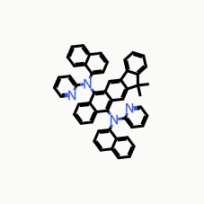 CC1(C)c2ccccc2-c2cc3c(N(c4ccccn4)c4cccc5ccccc45)c4ccccc4c(N(c4ccccn4)c4cccc5ccccc45)c3cc21